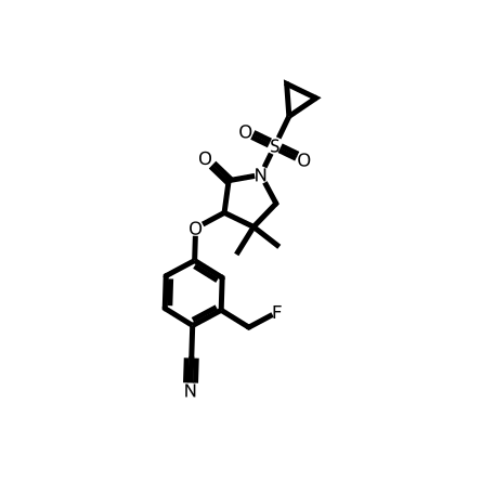 CC1(C)CN(S(=O)(=O)C2CC2)C(=O)C1Oc1ccc(C#N)c(CF)c1